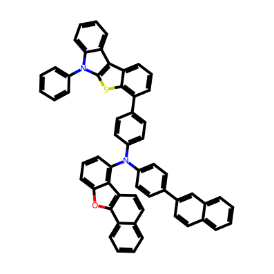 c1ccc(-n2c3ccccc3c3c4cccc(-c5ccc(N(c6ccc(-c7ccc8ccccc8c7)cc6)c6cccc7oc8c9ccccc9ccc8c67)cc5)c4sc32)cc1